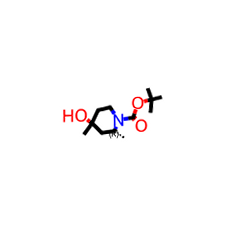 C[C@@H]1CC(C)(O)CCN1C(=O)OC(C)(C)C